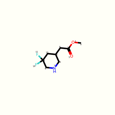 COC(=O)CC1CNCC(F)(F)C1